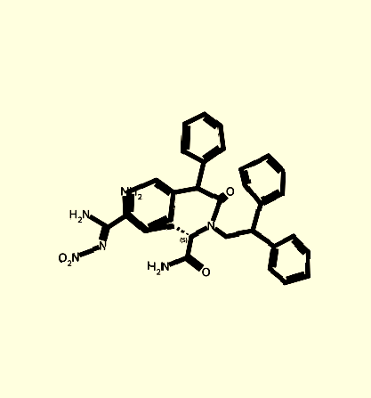 NC(=O)[C@H](CCC(N)C(N)=N[N+](=O)[O-])N(CC(c1ccccc1)c1ccccc1)C(=O)C(c1ccccc1)c1ccccc1